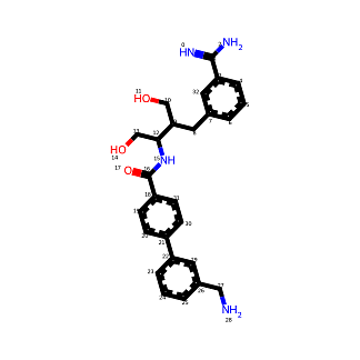 N=C(N)c1cccc(CC(CO)C(CO)NC(=O)c2ccc(-c3cccc(CN)c3)cc2)c1